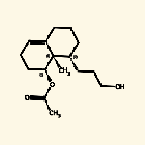 CC(=O)O[C@H]1CCC=C2CCC[C@H](CCCO)[C@]21C